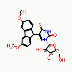 COc1ccc2c(c1)-c1cc(OC)ccc1C2c1cn([C@@H]2O[C@H](CO)[C@@H](O)[C@H]2O)c(=O)[nH]c1=S